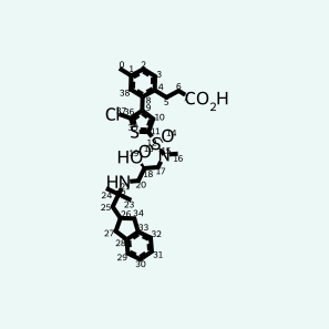 Cc1ccc(CCC(=O)O)c(-c2cc(S(=O)(=O)N(C)C[C@H](O)CNC(C)(C)CC3Cc4ccccc4C3)sc2Cl)c1